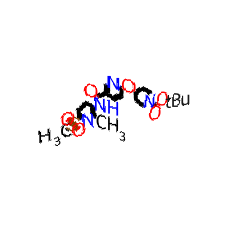 Cc1nc(S(C)(=O)=O)ccc1NC(=O)c1ccc(OC2CCN(C(=O)OC(C)(C)C)CC2)nc1